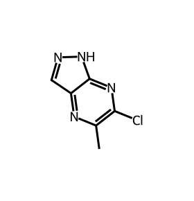 Cc1nc2cn[nH]c2nc1Cl